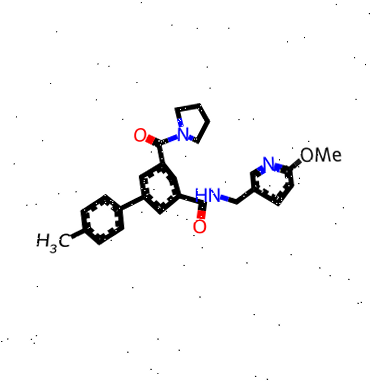 COc1ccc(CNC(=O)c2cc(C(=O)N3CCCC3)cc(-c3ccc(C)cc3)c2)cn1